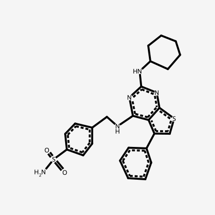 NS(=O)(=O)c1ccc(CNc2nc(NC3CCCCC3)nc3scc(-c4ccccc4)c23)cc1